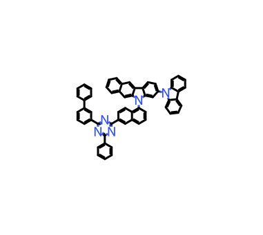 c1ccc(-c2cccc(-c3nc(-c4ccccc4)nc(-c4ccc5c(-n6c7cc(-n8c9ccccc9c9ccccc98)ccc7c7cc8ccccc8cc76)cccc5c4)n3)c2)cc1